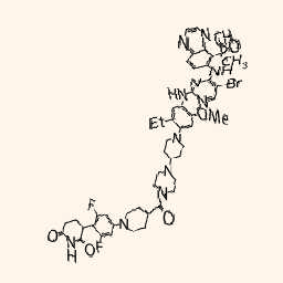 CCc1cc(Nc2ncc(Br)c(Nc3ccc4nccnc4c3P(C)(C)=O)n2)c(OC)cc1N1CCC(N2CCN(C(=O)C3CCN(c4cc(F)c(C5CCC(=O)NC5=O)c(F)c4)CC3)CC2)CC1